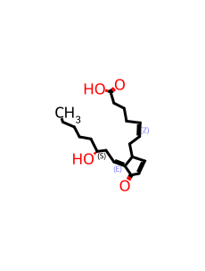 CCCCC[C@H](O)C/C=C1/C(=O)C=CC1C/C=C\CCCC(=O)O